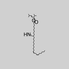 CCCCC/C=C\C/C=C\CCCCCCCCCC(CCCCCCCCC(=O)OCC(/C=C/C(C)C)C(C)C)CCNC